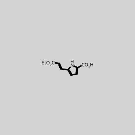 CCOC(=O)C=Cc1ccc(C(=O)O)[nH]1